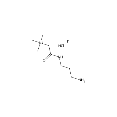 C[N+](C)(C)CC(=O)NCCCN.Cl.[I-]